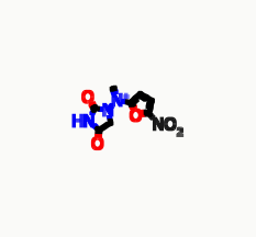 C=[N+](c1ccc([N+](=O)[O-])o1)N1CC(=O)NC1=O